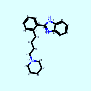 c1ccc(-c2nc3ccccc3[nH]2)c(CCCCN2CCCCC2)c1